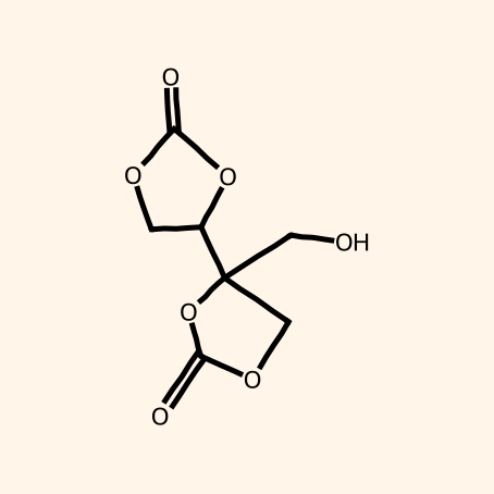 O=C1OCC(C2(CO)COC(=O)O2)O1